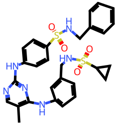 Cc1cnc(Nc2ccc(S(=O)(=O)NCc3ccccc3)cc2)nc1Nc1cccc(CNS(=O)(=O)C2CC2)c1